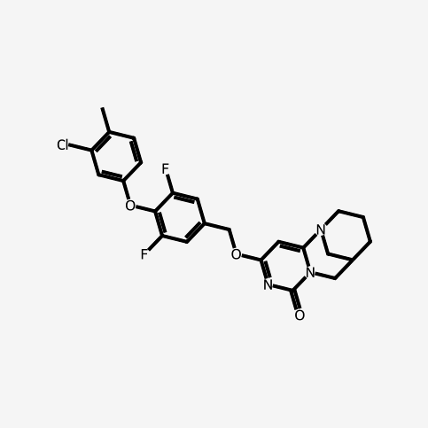 Cc1ccc(Oc2c(F)cc(COc3cc4n(c(=O)n3)CC3CCCN4C3)cc2F)cc1Cl